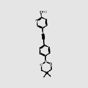 CC1(C)COB(c2ccc(C#Cc3ccc(C=O)nc3)cc2)OC1